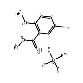 CCCOc1ccc(F)cc1C(=N)OCC.F[B-](F)(F)F